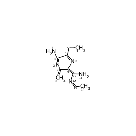 C=c1nc(N)c(CC)n/c1=C(N)/N=C\C